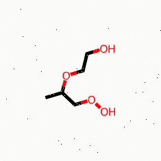 CC(COO)OCCO